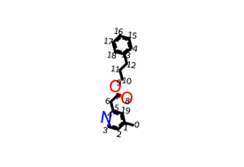 Cc1ccnc(CC(=O)OCCCc2ccccc2)c1